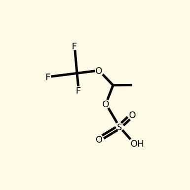 CC(OC(F)(F)F)OS(=O)(=O)O